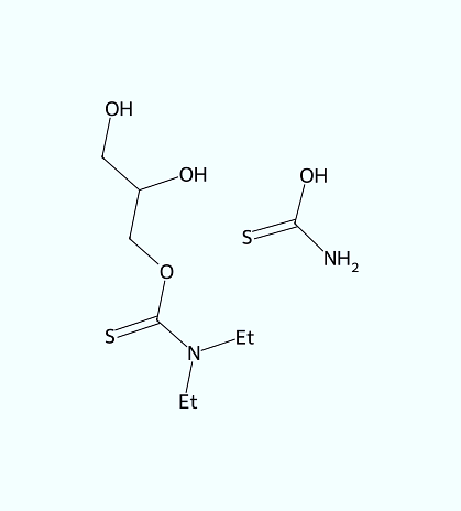 CCN(CC)C(=S)OCC(O)CO.NC(O)=S